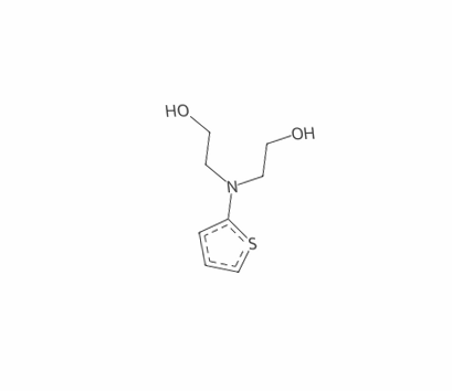 OCCN(CCO)c1cccs1